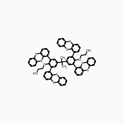 CC(C)(c1cc(-c2cccc3c2Sc2ccccc2S3)c(OCCO)c(-c2cccc3c2Sc2ccccc2S3)c1)c1cc(-c2cccc3c2Sc2ccccc2S3)c(OCCO)c(-c2cccc3c2Sc2ccccc2S3)c1